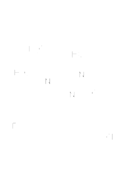 Cc1c(C)n(Cc2cccc(F)c2)c2c(N3CCc4ccc(Cl)cc4C3C)nccc12.Cl